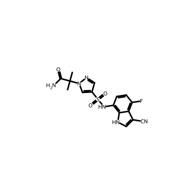 CC(C)(C(N)=O)n1cc(S(=O)(=O)Nc2ccc(F)c3c(C#N)c[nH]c23)cn1